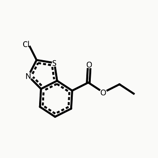 CCOC(=O)c1cccc2nc(Cl)sc12